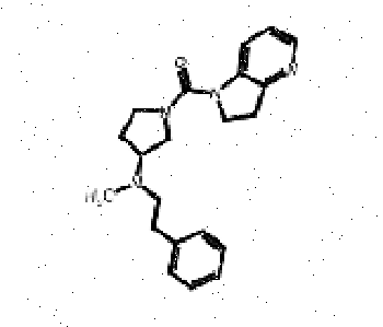 CN(CCc1ccccc1)[C@H]1CCN(C(=O)N2CCc3ncccc32)C1